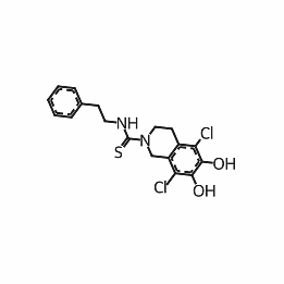 Oc1c(O)c(Cl)c2c(c1Cl)CCN(C(=S)NCCc1ccccc1)C2